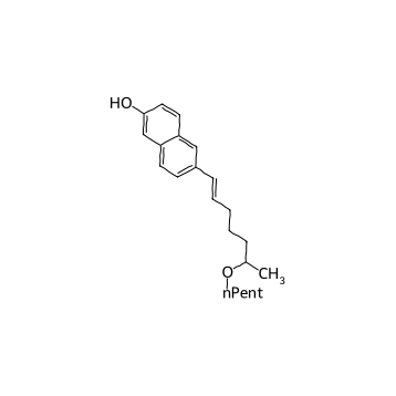 CCCCCOC(C)CCCC=Cc1ccc2cc(O)ccc2c1